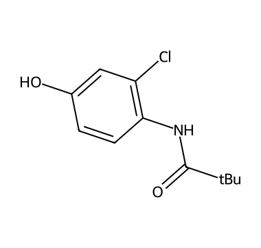 CC(C)(C)C(=O)Nc1ccc(O)cc1Cl